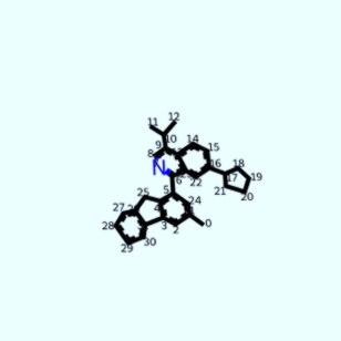 Cc1cc2c(c(-c3ncc(C(C)C)c4ccc(C5CCCC5)cc34)c1)Cc1ccccc1-2